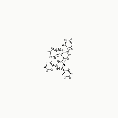 c1ccc(-c2nc(-c3ccccc3)nc(-c3ccc(-c4ccccc4)c4oc5ccccc5c34)n2)cc1